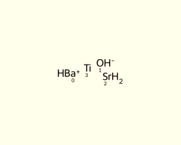 [BaH+].[OH-].[SrH2].[Ti]